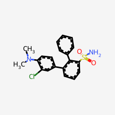 CN(C)c1ccc(-c2cccc(S(N)(=O)=O)c2-c2ccccc2)cc1Cl